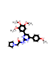 COc1ccc(-c2cc(-c3cc(OC)c(OC)c(OC)c3)nc(NC(=O)CN3CCCC3)n2)cc1